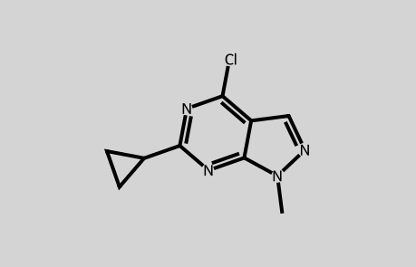 Cn1ncc2c(Cl)nc(C3CC3)nc21